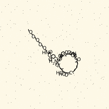 CCOCCOCCOCCOCCOCCNC(=O)O[C@@H]1CC[C@@H](C[C@@H](N)[C@@H]2C[C@@H](OC)[C@H](C)/C=C(\C)[C@@H](O)[C@@H](O)C(=O)[C@H](C)C[C@H](C)/C=C/C=C/C=C(\C)[C@@H](OC)C[C@@H]3CC[C@@H](C)[C@@](O)(O3)C(=O)C(=O)N3CCCC[C@H]3C(=O)O2)C[C@H]1OC